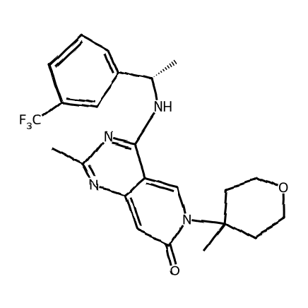 Cc1nc(N[C@@H](C)c2cccc(C(F)(F)F)c2)c2cn(C3(C)CCOCC3)c(=O)cc2n1